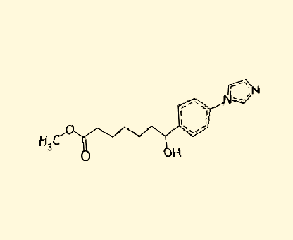 COC(=O)CCCCCC(O)c1ccc(-n2ccnc2)cc1